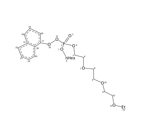 CCCCCCOP(=O)(OCCOCCOCCOCC)OOc1cccc2ccccc12